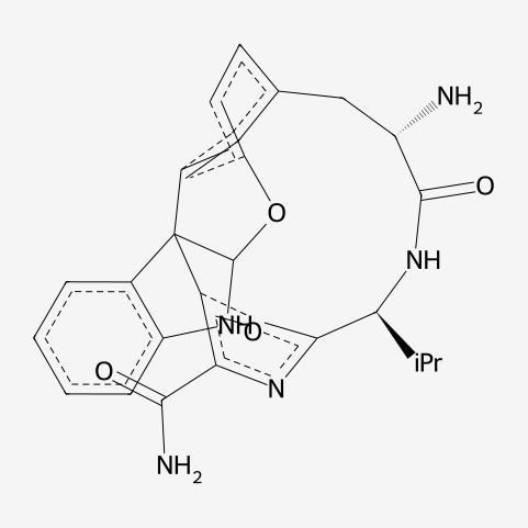 CC(C)[C@@H]1NC(=O)[C@@H](N)Cc2ccc3c(c2)C2(c4ccccc4NC2O3)c2oc1nc2C(N)=O